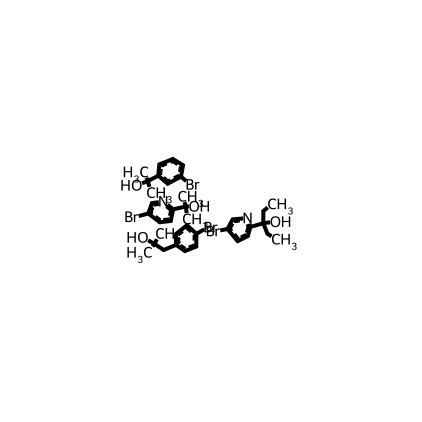 CC(C)(O)Cc1ccc(Br)cc1.CC(C)(O)c1ccc(Br)cn1.CC(C)(O)c1cccc(Br)c1.CCC(O)(CC)c1ccc(Br)cn1